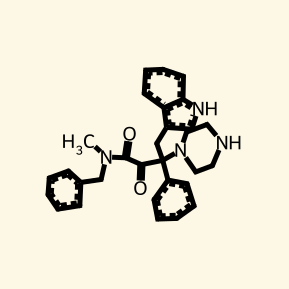 CN(Cc1ccccc1)C(=O)C(=O)C(Cc1c[nH]c2ccccc12)(c1ccccc1)N1CCNCC1